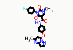 Cc1cc(Oc2ccc(NC(=O)c3cn(C)c(=O)n(-c4ccc(F)cc4)c3=O)cc2)n2nccc2n1